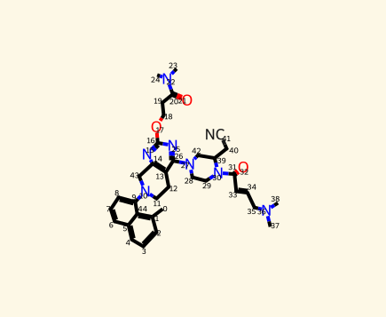 Cc1cccc2cccc(N3CCc4c(nc(OCCC(=O)N(C)C)nc4N4CCN(C(=O)C=CCN(C)C)C(CC#N)C4)C3)c12